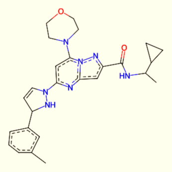 Cc1cccc(C2C=CN(c3cc(N4CCOCC4)n4nc(C(=O)NC(C)C5CC5)cc4n3)N2)c1